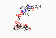 COc1c(N2CCN(C(=O)OCOC(=O)c3ccc(C(=O)OCC(=O)[C@@]4(O)[C@H](C)CC5C6CCC7=CC(=O)C=C[C@]7(C)[C@@]6(F)[C@@H](O)C[C@@]54C)cc3)C(C)C2)c(F)cc2c(=O)c(C(=O)O)cn(C3CC3)c12